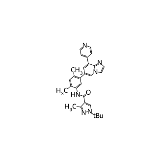 Cc1cc(C)c(-c2cc(-c3ccncc3)c3nccn3c2)cc1NC(=O)c1cn(C(C)(C)C)nc1C